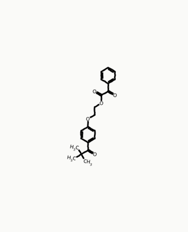 CC(C)(C)C(=O)c1ccc(OCCOC(=O)C(=O)c2ccccc2)cc1